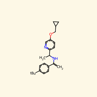 C=C(NC(C)c1ccc(OCC2CC2)cn1)c1ccc(C(C)(C)C)cc1